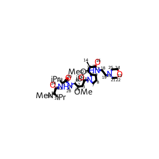 CC[C@H](C)[C@@H]([C@@H](CC(=O)N1CCCC1[C@H](OC)[C@@H](C)C(=O)NCCN1CCOCC1)OC)N(C)C(=O)C(NC(=O)C(NC)C(C)C)C(C)C